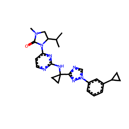 CC(C)C1CN(C)C(=O)N1c1ccnc(NC2(c3ncn(-c4cccc(C5CC5)c4)n3)CC2)n1